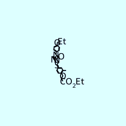 CCOC(=O)COc1ccc(SCn2ncn(-c3ccc(OCC)cc3)c2=O)cc1C